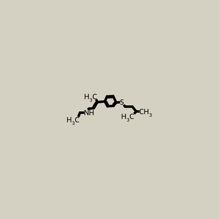 CCNCC=C(C)c1ccc(SCCC(C)C)cc1